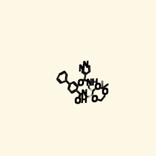 CC1(C)OCCO[C@H](CNC(=O)c2ccc(-c3ccccc3)cc2)[C@H](CNC(=O)c2ccnnc2)O1